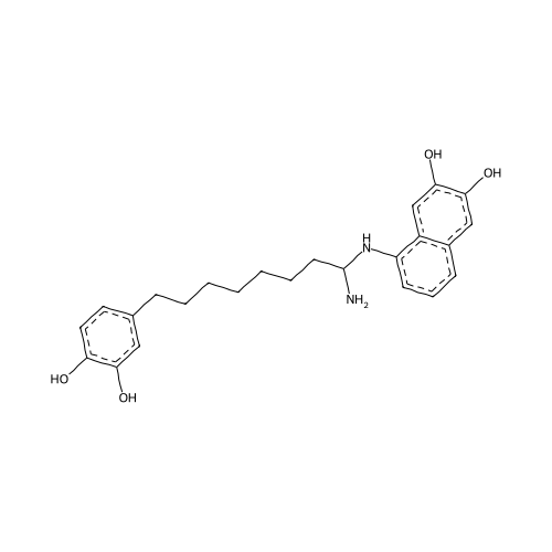 NC(CCCCCCCc1ccc(O)c(O)c1)Nc1cccc2cc(O)c(O)cc12